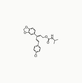 CC(C)NC(=O)OCC=C(C=Cc1ccc(Cl)cc1)c1ccc2c(c1)OCO2